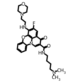 CN(C)CCCCNC(=O)c1cn2c3c(c(NCCN4CCOCC4)c(F)cc3c1=O)Oc1ccccc1-2